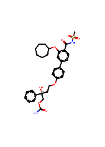 CS(=O)(=O)NC(=O)c1ccc(-c2ccc(OCC[C@](O)(COC(N)=O)c3ccccc3)cc2)cc1OC1CCCCCC1